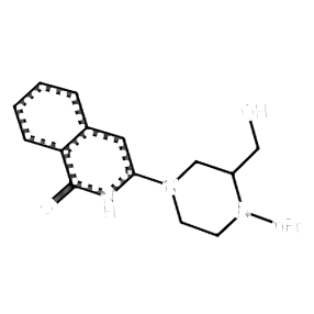 CCCN1CCN(c2cc3ccccc3c(=O)[nH]2)CC1CO